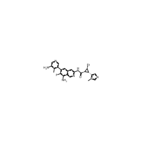 CC[C@@H]1[C@H](C(=O)Nc2cc3cc(-c4cncc(N)c4C)c(F)c(N)c3cn2)[C@H]1c1cncn1C